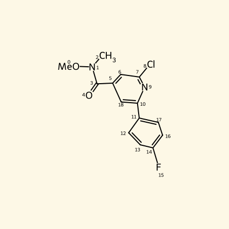 CON(C)C(=O)c1cc(Cl)nc(-c2ccc(F)cc2)c1